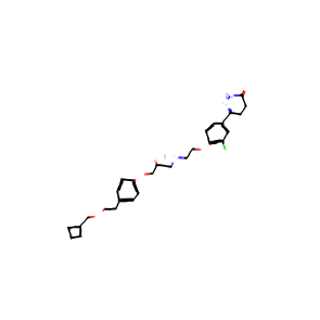 O=C1CCC(c2ccc(OCCNCC(O)COc3ccc(CCOCC4CCC4)cc3)c(Cl)c2)=NN1